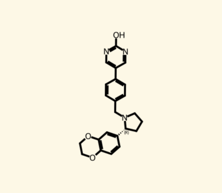 Oc1ncc(-c2ccc(CN3CCC[C@@H]3c3ccc4c(c3)OCCO4)cc2)cn1